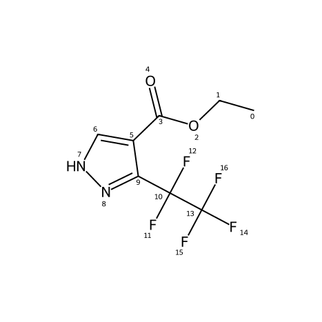 CCOC(=O)c1c[nH]nc1C(F)(F)C(F)(F)F